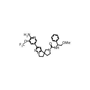 COCC(NC(=O)N1CCC2(CCn3nc(-c4cnc(N)c(OC(F)(F)F)c4)cc32)C1)c1ccccc1